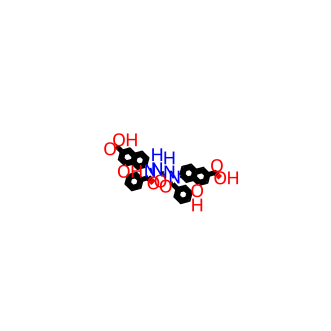 O=C(NN(C(=O)c1ccccc1)c1ccc2cc(C(=O)O)cc(O)c2c1)NN(C(=O)c1ccccc1)c1ccc2cc(C(=O)O)cc(O)c2c1